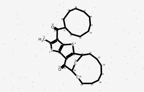 Cc1sc2c3c(sc2c1C(=O)C1CCCCCCCCC1)C1CCCCCCCCC(C1)C3=O